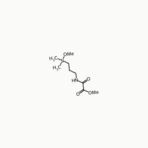 COC(=O)C(=O)NCCC[Si](C)(C)OC